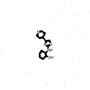 Oc1ccccc1Nc1nc(-c2ccncc2)cs1